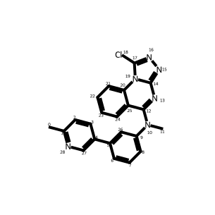 Cc1ccc(-c2cccc(N(C)c3nc4nnc(Cl)n4c4ccccc34)c2)cn1